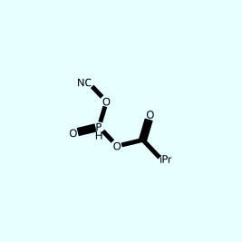 CC(C)C(=O)O[PH](=O)OC#N